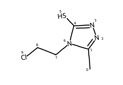 Cc1nnc(S)n1CCCl